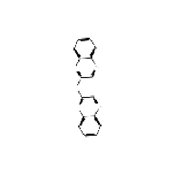 c1ccc2nc(Oc3cnc4ccccc4n3)cnc2c1